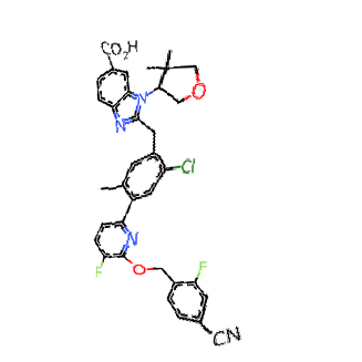 Cc1cc(Cc2nc3ccc(C(=O)O)cc3n2C2COCC2(C)C)c(Cl)cc1-c1ccc(F)c(OCc2ccc(C#N)cc2F)n1